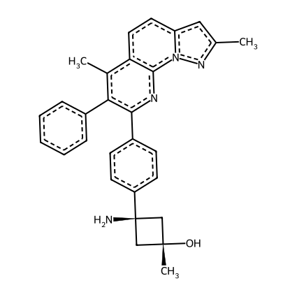 Cc1cc2ccc3c(C)c(-c4ccccc4)c(-c4ccc([C@]5(N)C[C@](C)(O)C5)cc4)nc3n2n1